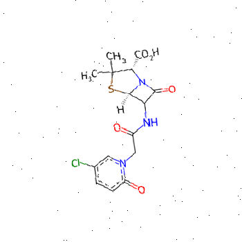 CC1(C)S[C@@H]2C(NC(=O)Cn3cc(Cl)ccc3=O)C(=O)N2[C@H]1C(=O)O